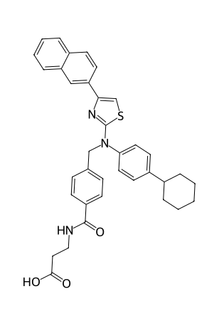 O=C(O)CCNC(=O)c1ccc(CN(c2ccc(C3CCCCC3)cc2)c2nc(-c3ccc4ccccc4c3)cs2)cc1